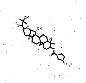 CCOC(C1C[C@@H](C)[C@H]2C(O1)[C@H](O)[C@@]1(C)C3CC[C@H]4C(C)(C)C(OC(=O)N5CCC(C(=O)O)C5)CCC45CC35CCC21C)C(C)(C)O